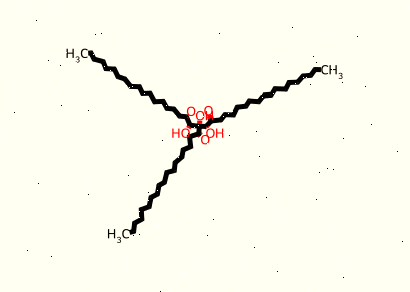 CCCCCCCCC=CCCCCCCCC(=O)C(O)C(O)(C(=O)CCCCCCCCCCCCCCCCC)C(O)C(=O)CCCCCCCCCCCCCCCCC